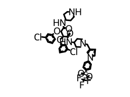 O=C(NC1CCNCC1)C(Oc1cccc(Cl)c1)C(Oc1cccc(Cl)c1)C(=O)NC1CCN(Cc2ccn(-c3ccc(S(=O)(=O)C(F)(F)F)cc3)c2)CC1